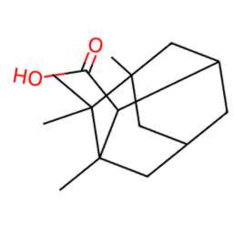 CC12CC3CC(C1)C(C(=O)O)C(C)(C3)C2(C)C